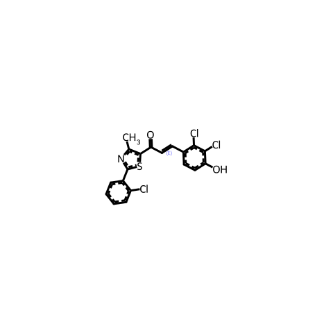 Cc1nc(-c2ccccc2Cl)sc1C(=O)/C=C/c1ccc(O)c(Cl)c1Cl